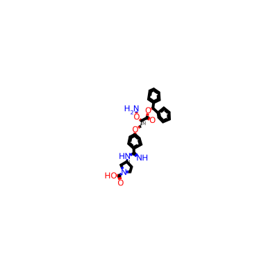 N=C(N[C@H]1CCN(C(=O)O)C1)c1ccc(OC[C@H](ON)C(=O)OC(c2ccccc2)c2ccccc2)cc1